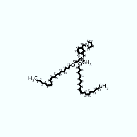 CCCCC/C=C\C/C=C\CCCCCCCCOCC(CN(C)Cc1cccc(CN2CCCC2)c1)OCCCCCCCC/C=C\C/C=C\CCCCC